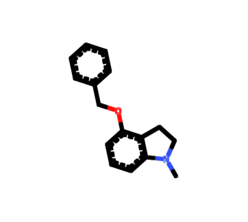 CN1CCc2c(OCc3ccccc3)cccc21